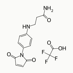 NC(=O)CCNc1ccc(N2C(=O)C=CC2=O)cc1.O=C(O)C(F)(F)F